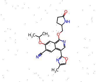 Cc1coc(-c2cnc(OCC3CCC(=O)N3)c3cc(OC(C)C)c(C#N)cc23)n1